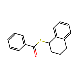 O=C(SC1CCCc2ccccc21)c1ccccc1